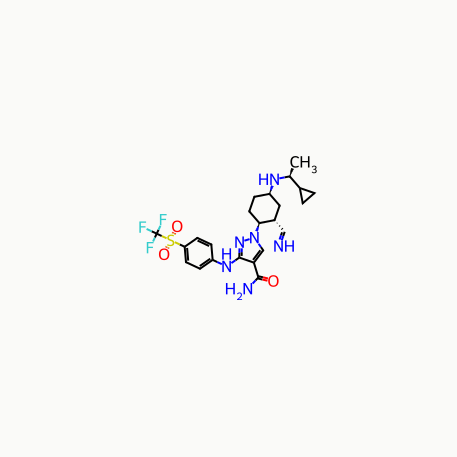 C[C@H](N[C@@H]1CC[C@H](n2cc(C(N)=O)c(Nc3ccc(S(=O)(=O)C(F)(F)F)cc3)n2)[C@@H](C=N)C1)C1CC1